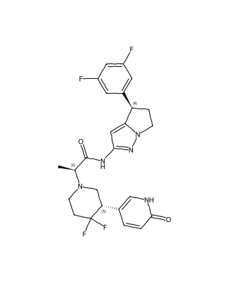 C[C@@H](C(=O)Nc1cc2n(n1)CC[C@@H]2c1cc(F)cc(F)c1)N1CCC(F)(F)[C@@H](c2ccc(=O)[nH]c2)C1